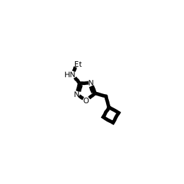 CCNc1noc(CC2CCC2)n1